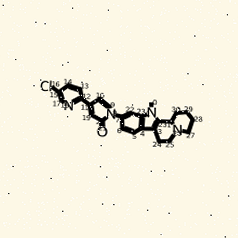 Cn1c2c(c3ccc(-n4ccc(-c5ccc(Cl)cn5)cc4=O)cc31)CCN1CCCCC21